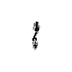 CC(C)c1nnc(-c2c(F)cc(OCCCC3CCN(c4ncc(C(F)(F)F)cn4)CC3)cc2F)o1